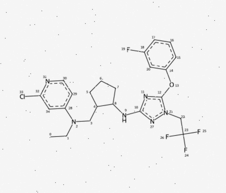 CCN(CC1CCCC1Nc1nc(Oc2cccc(F)c2)n(CC(F)(F)F)n1)c1ccnc(Cl)c1